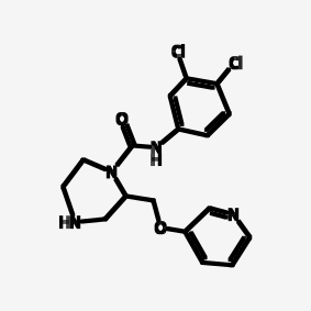 O=C(Nc1ccc(Cl)c(Cl)c1)N1CCNCC1COc1cccnc1